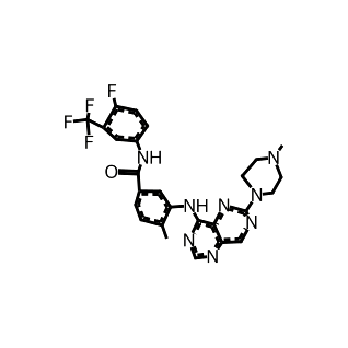 Cc1ccc(C(=O)Nc2ccc(F)c(C(F)(F)F)c2)cc1Nc1ncnc2cnc(N3CCN(C)CC3)nc12